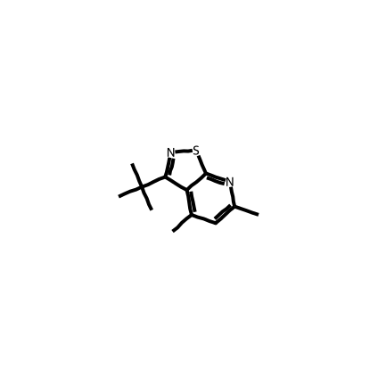 Cc1cc(C)c2c(C(C)(C)C)nsc2n1